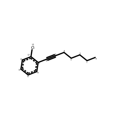 CCCCCC#Cc1ccccc1Cl